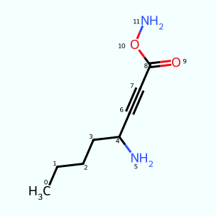 CCCCC(N)C#CC(=O)ON